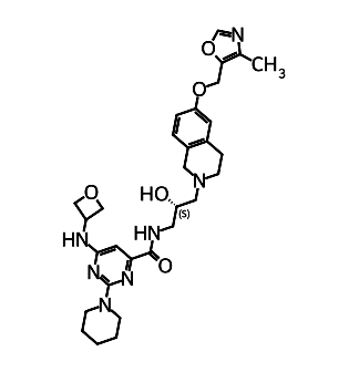 Cc1ncoc1COc1ccc2c(c1)CCN(C[C@@H](O)CNC(=O)c1cc(NC3COC3)nc(N3CCCCC3)n1)C2